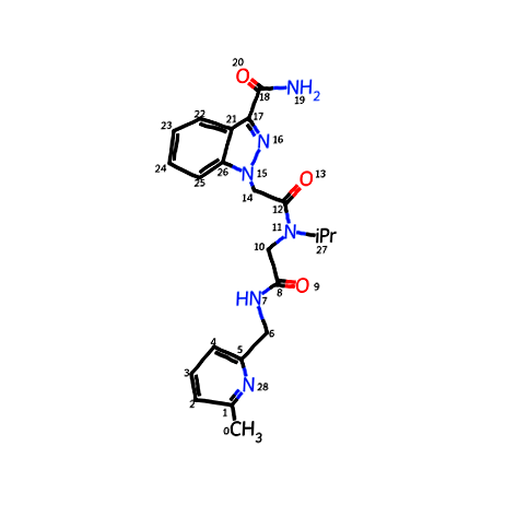 Cc1cccc(CNC(=O)CN(C(=O)Cn2nc(C(N)=O)c3ccccc32)C(C)C)n1